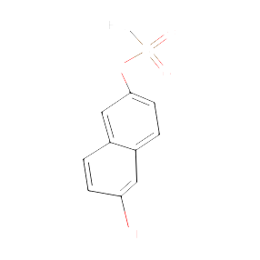 O=S(=O)(Oc1ccc2cc(O)ccc2c1)C(F)(F)F